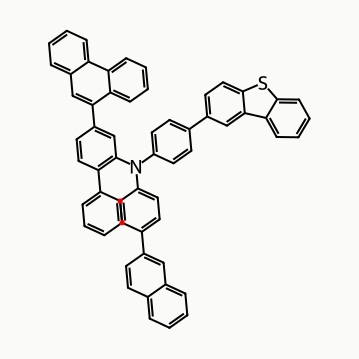 c1ccc(-c2ccc(-c3cc4ccccc4c4ccccc34)cc2N(c2ccc(-c3ccc4ccccc4c3)cc2)c2ccc(-c3ccc4sc5ccccc5c4c3)cc2)cc1